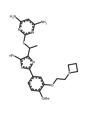 CCCc1sc(-c2ccc(OC)c(OCCN3CCC3)c2)nc1C(C)Sc1nc(N)cc(N)n1